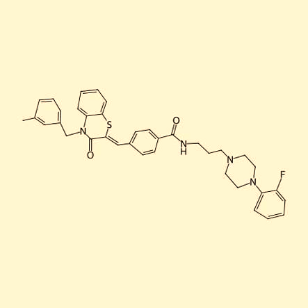 Cc1cccc(CN2C(=O)C(=Cc3ccc(C(=O)NCCCN4CCN(c5ccccc5F)CC4)cc3)Sc3ccccc32)c1